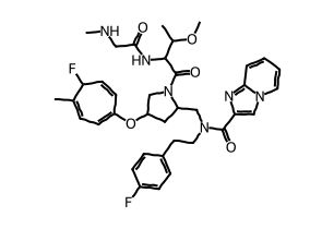 CNCC(=O)NC(C(=O)N1CC(OC2=CC=C(C)C(F)C=C2)CC1CN(CCc1ccc(F)cc1)C(=O)c1cn2ccccc2n1)C(C)OC